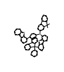 CC1(C)c2ccccc2-c2ccc(N(c3ccc(-c4cccc5c4sc4ccccc45)cc3)c3cccc4c3oc3c(C5(c6ccccc6)c6ccccc6-c6ccccc65)cccc34)cc21